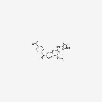 CC(=O)N1CCN(C(=O)c2ccc3c(OC(C)C)nc(Nc4cc(C)[nH]n4)cc3c2)CC1